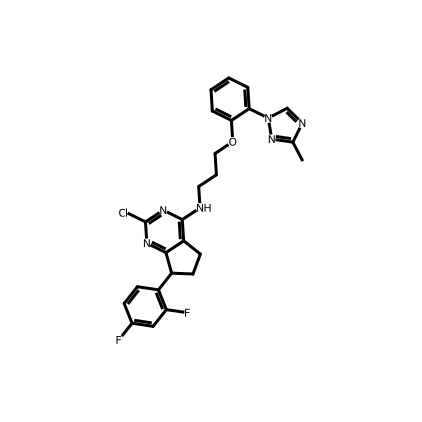 Cc1ncn(-c2ccccc2OCCCNc2nc(Cl)nc3c2CCC3c2ccc(F)cc2F)n1